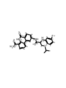 CC(C)OCC(Nc1cccc(F)c1)C(=O)Nc1ccc2c(=O)[nH]c3c(C(N)=O)cccc3c2c1